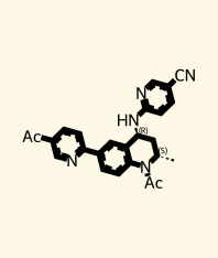 CC(=O)c1ccc(-c2ccc3c(c2)[C@H](Nc2ccc(C#N)cn2)C[C@H](C)N3C(C)=O)nc1